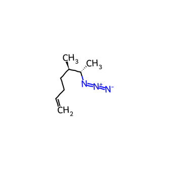 C=CCC[C@@H](C)[C@H](C)N=[N+]=[N-]